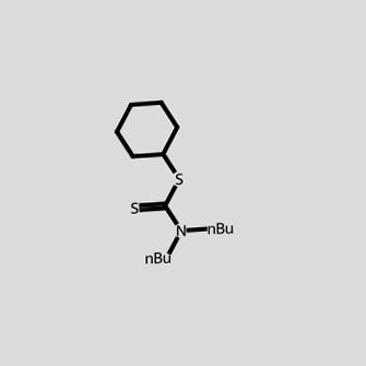 CCCCN(CCCC)C(=S)SC1CCCCC1